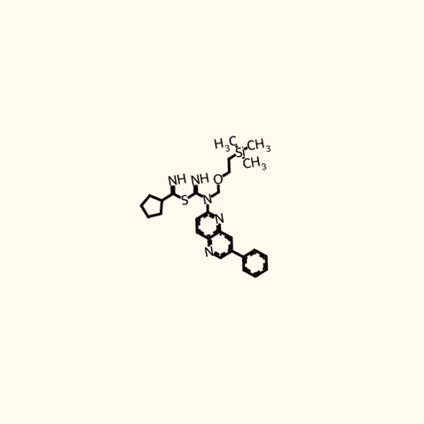 C[Si](C)(C)CCOCN(C(=N)SC(=N)C1CCCC1)c1ccc2ncc(-c3ccccc3)cc2n1